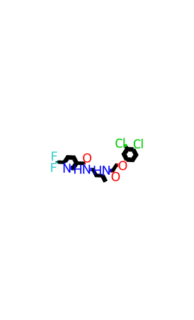 C=C(CCNC(=O)c1ccc(C(F)F)nc1)NC(=O)COc1ccc(Cl)c(Cl)c1